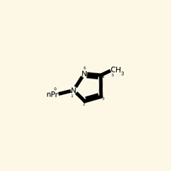 [CH2]CCn1ccc(C)n1